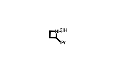 CC(C)C1CCN1.Cl